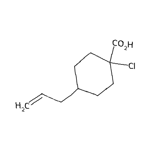 C=CCC1CCC(Cl)(C(=O)O)CC1